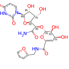 NC(=O)[C@H](O[C@H]1OC(C(=O)NCc2ccco2)=C[C@H](O)[C@@H]1O)[C@H]1O[C@@H](n2ccc(=O)[nH]c2=O)[C@H](O)[C@@H]1CO